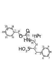 CCC[C@H](CC(Cc1ccccc1)S(=O)(=O)O)NC(=O)OCc1ccccc1